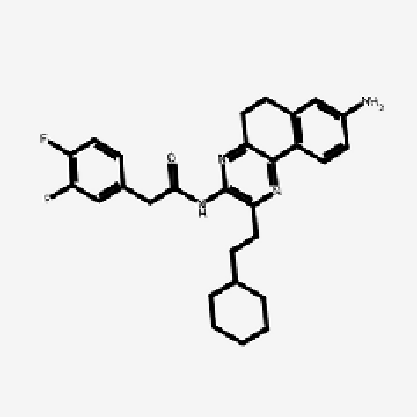 Nc1ccc2c(c1)CCc1nc(NC(=O)Cc3ccc(F)c(F)c3)c(CCC3CCCCC3)nc1-2